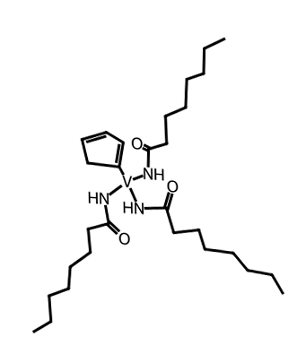 CCCCCCCC(=O)[NH][V]([NH]C(=O)CCCCCCC)([NH]C(=O)CCCCCCC)[C]1=CC=CC1